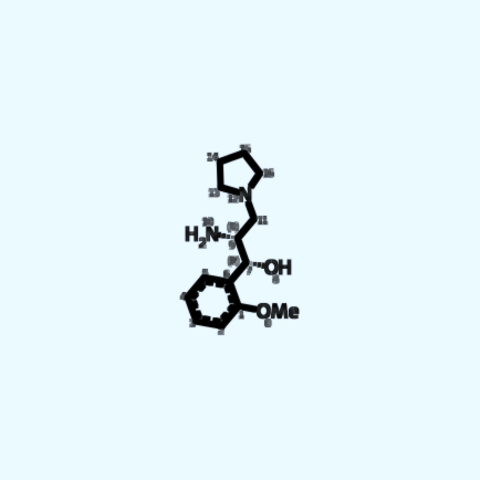 COc1ccccc1[C@@H](O)[C@H](N)CN1CCCC1